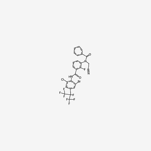 N#CCN(C(=O)c1ccccc1)c1cccc(C(=O)Nc2c(Cl)cc(C(F)(C(F)(F)F)C(F)(F)F)cc2Br)c1F